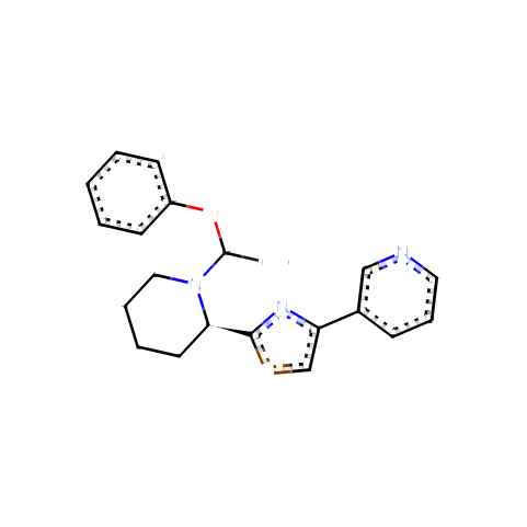 O=CC(Oc1ccccc1)N1CCCC[C@@H]1c1nc(-c2cccnc2)cs1